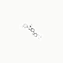 CCN(C)Cc1ccnc(-c2ccc3c(c2)CN(C2CCCNC2)C3=O)c1